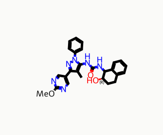 COc1ncc(-c2nn(-c3ccccc3)c(NC(=O)NC3c4ccccc4CC[C@H]3O)c2C)cn1